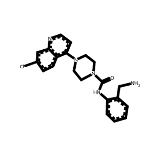 NCc1ccccc1NC(=O)N1CCN(c2ccnc3cc(Cl)ccc23)CC1